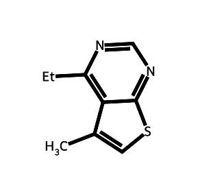 CCc1ncnc2scc(C)c12